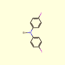 CCN(c1ccc(I)cc1)c1ccc(I)cc1